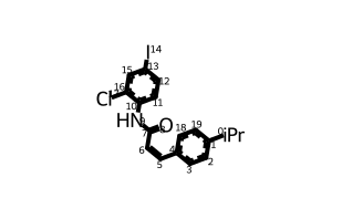 CC(C)c1ccc(/C=C\C(=O)Nc2ccc(I)cc2Cl)cc1